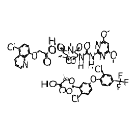 COc1cc(OC)nc(NC(=O)NS(=O)(=O)N(C)S(C)(=O)=O)n1.C[C@H](OC(=O)c1cc(Oc2ccc(C(F)(F)F)cc2Cl)ccc1Cl)C(=O)O.O=C(O)COc1ccc(Cl)c2cccnc12